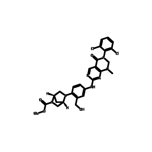 CN1CN(c2c(Cl)cccc2Cl)C(=O)c2cnc(Nc3ccc(N4C[C@@H]5C[C@H]4CN5C(=O)OC(C)(C)C)c(CO)c3)nc21